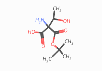 CC(O)C(N)(C(=O)O)C(=O)OC(C)(C)C